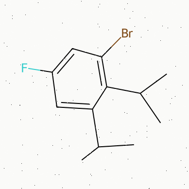 CC(C)c1cc(F)cc(Br)c1C(C)C